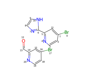 Brc1ccnc(-c2ncc[nH]2)c1.O=Cc1cc(Br)ccn1